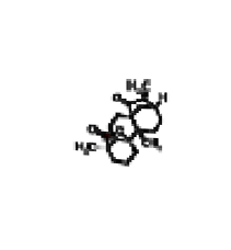 C=C1C(=O)[C@@]23CC[C@@H]4[C@@]5(C)CCC[C@@]4(OC5=O)[C@@]2(C)CC[C@@H]1C3